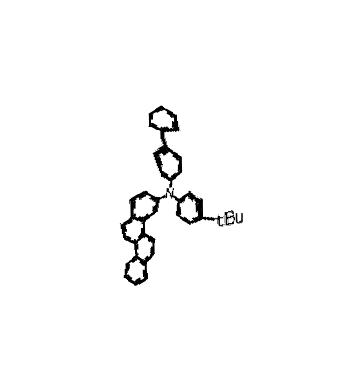 CC(C)(C)c1ccc(N(c2ccc(-c3ccccc3)cc2)c2ccc3ccc4c5ccccc5ccc4c3c2)cc1